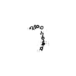 CC1(C)C(NC(=O)c2ccc(N3CCC(CN[C@H]4CCCN(c5ccc6c(c5)C(=O)N(C5CCC(=O)NC5=O)C6=O)C4)CC3)nc2)C(C)(C)C1Oc1ccc(C#N)c(Cl)c1